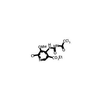 CCOC(=O)c1cnc(Cl)c(OC)c1NC(=O)NC(=O)C(Cl)(Cl)Cl